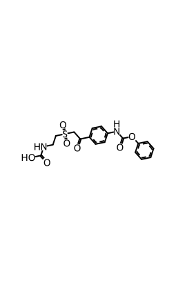 O=C(O)NCCS(=O)(=O)CC(=O)c1ccc(NC(=O)Oc2ccccc2)cc1